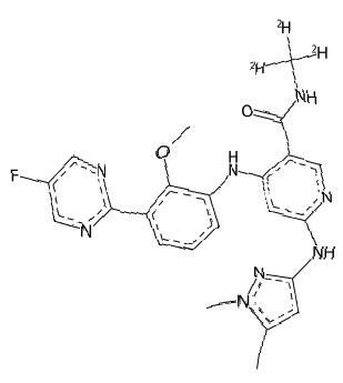 [2H]C([2H])([2H])NC(=O)c1cnc(Nc2cc(C)n(C)n2)cc1Nc1cccc(-c2ncc(F)cn2)c1OC